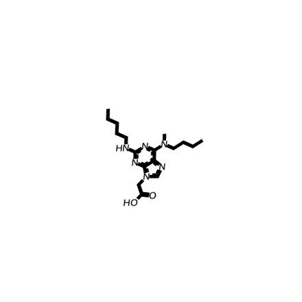 CCCCCNc1nc(N(C)CCCC)c2ncn(CC(=O)O)c2n1